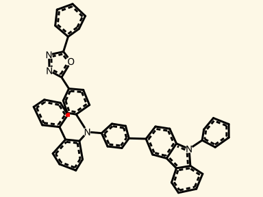 c1ccc(-c2nnc(-c3ccc(N(c4ccc(-c5ccc6c(c5)c5ccccc5n6-c5ccccc5)cc4)c4ccccc4-c4ccccc4)cc3)o2)cc1